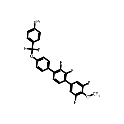 CCCc1ccc(C(F)(F)Oc2ccc(-c3ccc(-c4cc(F)c(OC(F)(F)F)c(F)c4)c(F)c3F)cc2)cc1